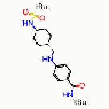 CC(C)(C)NC(=O)c1ccc(NC[C@H]2CC[C@H](NS(=O)(=O)C(C)(C)C)CC2)cc1